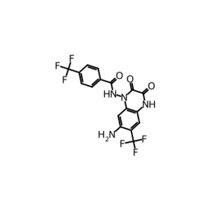 Nc1cc2c(cc1C(F)(F)F)[nH]c(=O)c(=O)n2NC(=O)c1ccc(C(F)(F)F)cc1